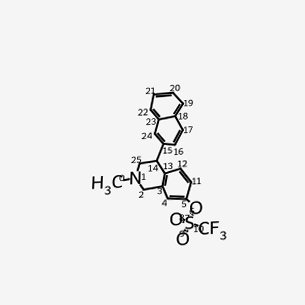 CN1Cc2cc(OS(=O)(=O)C(F)(F)F)ccc2C(c2ccc3ccccc3c2)C1